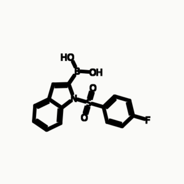 O=S(=O)(c1ccc(F)cc1)n1c(B(O)O)cc2ccccc21